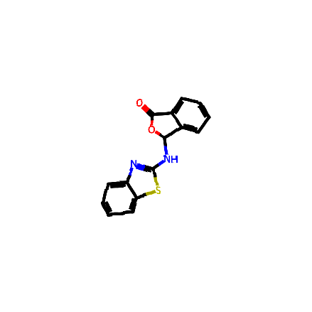 O=C1OC(Nc2nc3ccccc3s2)c2ccccc21